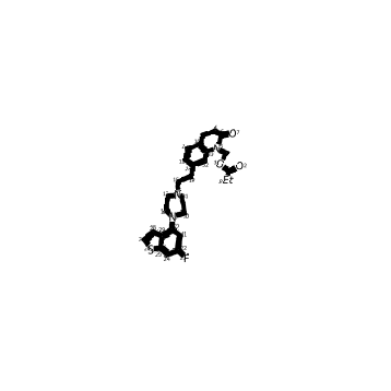 CCC(=O)OCN1C(=O)CCc2ccc(CCN3CCN(c4cc(F)cc5sccc45)CC3)cc21